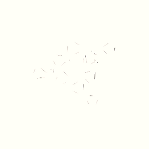 c1ccc(-c2nc(-c3ccccc3)nc(-c3cccc4c3oc3c4ccc4c3c3cc(-c5ccc6c(c5)oc5ccccc56)ccc3n4-c3ccccc3)n2)cc1